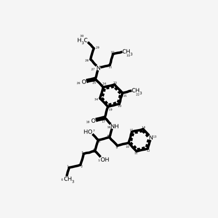 CCCCC(O)C(O)C(Cc1ccncc1)NC(=O)c1cc(C)cc(C(=O)N(CCC)CCC)c1